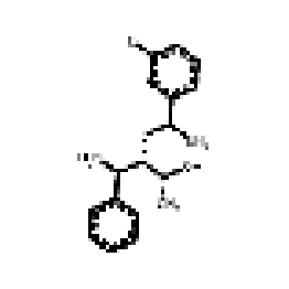 C[C@@H](O)[C@@H](CC(N)c1cccc(F)c1)C(N)c1ccccc1